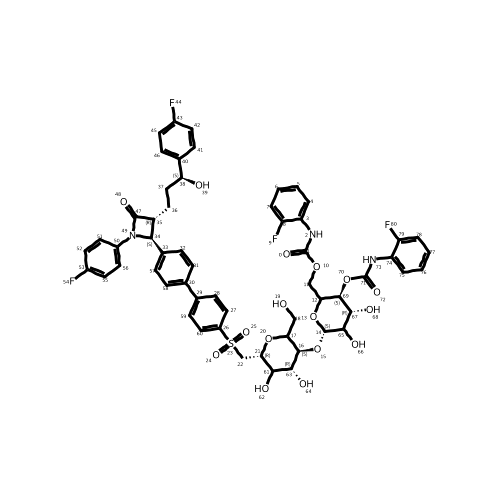 O=C(Nc1ccccc1F)OCC1O[C@@H](O[C@@H]2C(CO)O[C@@H](CS(=O)(=O)c3ccc(-c4ccc([C@@H]5[C@@H](CC[C@H](O)c6ccc(F)cc6)C(=O)N5c5ccc(F)cc5)cc4)cc3)C(O)[C@H]2O)C(O)[C@@H](O)[C@@H]1OC(=O)Nc1ccccc1F